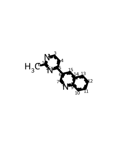 Cc1nccc(-c2cnc3ccccc3c2)n1